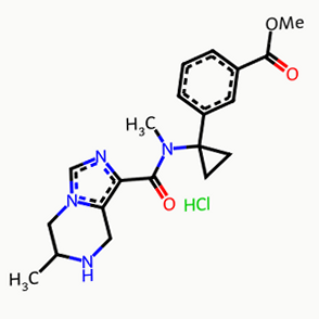 COC(=O)c1cccc(C2(N(C)C(=O)c3ncn4c3CNC(C)C4)CC2)c1.Cl